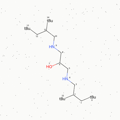 CC(C)(C)CC(CNCC(O)CNCC(CC(C)(C)C)C(C)(C)C)C(C)(C)C